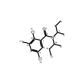 CCC(C)N(C(=O)c1cc(Cl)cc(I)c1Cl)C(C)CC